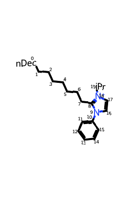 CCCCCCCCCCCCCCCCCc1n(-c2ccccc2)cc[n+]1C(C)C